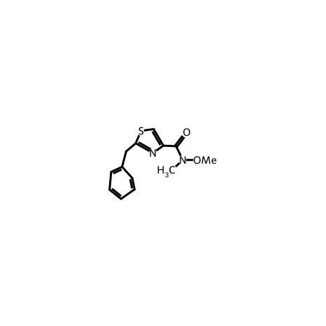 CON(C)C(=O)c1csc(Cc2ccccc2)n1